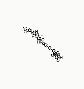 N#Cc1ccc(N2CCc3c(ncnc3Nc3ccc(C(=O)NC4CC5(CCN(C6CCN(c7ccc8c(c7)C(=O)N(C7CCC(=O)NC7=O)C8=O)CC6)CC5)C4)c(F)n3)C2)cc1Cl